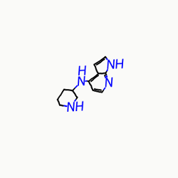 c1cc(NC2CCCNC2)c2cc[nH]c2n1